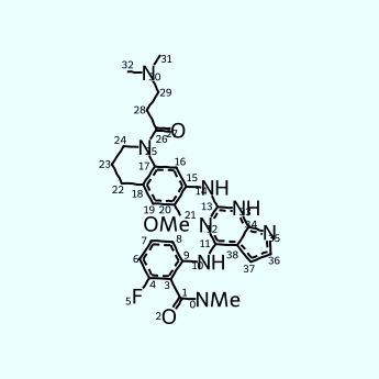 CNC(=O)c1c(F)cccc1Nc1nc(Nc2cc3c(cc2OC)CCCN3C(=O)CCN(C)C)[nH]c2nccc1-2